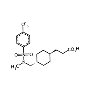 CN(C[C@H]1CC[C@H](CCC(=O)O)CC1)S(=O)(=O)c1ccc(C(F)(F)F)cc1